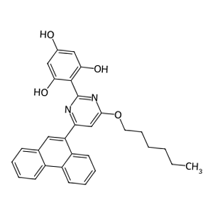 CCCCCCOc1cc(-c2cc3ccccc3c3ccccc23)nc(-c2c(O)cc(O)cc2O)n1